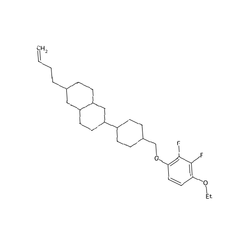 C=CCCC1CCC2CC(C3CCC(COc4ccc(OCC)c(F)c4F)CC3)CCC2C1